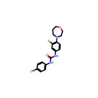 O=C(Nc1ccc(Cl)cc1)Nc1ccc(N2CCCOCC2)c(F)c1